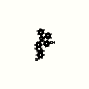 Oc1cccc(-n2c(-c3ccc4c(c3)N3Cc5ccc(Br)cc5N(C4)C3)nc(-c3ccccc3)c2-c2ccccc2)c1